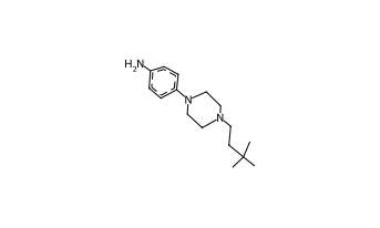 CC(C)(C)CCN1CCN(c2ccc(N)cc2)CC1